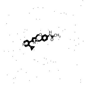 CC(=O)Nc1ccc2c(c1)OCc1cc(-c3ccncc3C3CC3)nn1C2